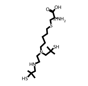 CC(C)(S)CNCCN(CCCCCSC[C@H](N)C(=O)O)CC(C)(C)S